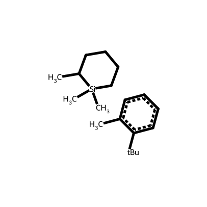 CC1CCCC[Si]1(C)C.Cc1ccccc1C(C)(C)C